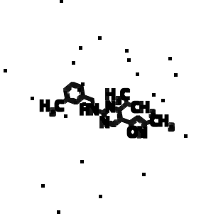 Cc1cccc(CNc2ncc(-c3cc(C)no3)c(C(C)C)n2)c1